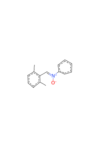 Cc1cccc(C)c1C=[N+]([O-])c1ccccc1